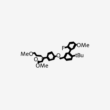 COCCC[C@H](CC(=O)OC)c1ccc(OCc2ccc(C(C)(C)C)c(-c3cc(OC)ccc3F)c2)cc1